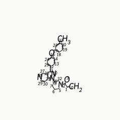 C=CC(=O)N1CCC[C@@H](n2nc(-c3ccc(Oc4cccc(C)c4)cc3)c3cnccc32)C1